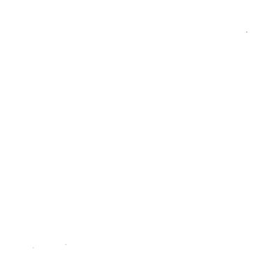 CC(/C=C/C=C(C)/C=C/c1ccc(O)c(O)c1)=C\C=C\C=C(C)\C=C\C=C(C)\C=C\c1ccc(O)c(O)c1